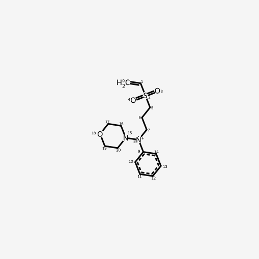 C=CS(=O)(=O)CCC[N+](c1ccccc1)N1CCOCC1